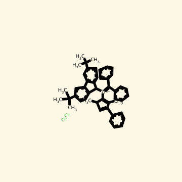 CC1=[C]([Zr+2](=[C](c2ccccc2)c2ccccc2)[CH]2c3ccc(C(C)(C)C)cc3-c3cc(C(C)(C)C)ccc32)C(C)C=C1c1ccccc1.[Cl-].[Cl-]